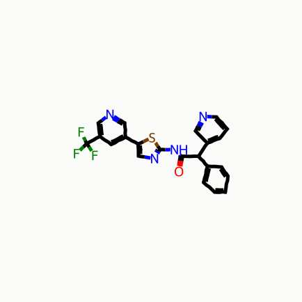 O=C(Nc1ncc(-c2cncc(C(F)(F)F)c2)s1)C(c1ccccc1)c1cccnc1